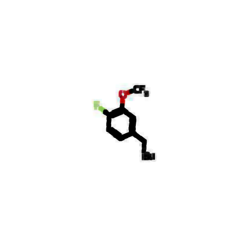 CCC(C)Cc1ccc(F)c(OC(F)(F)F)c1